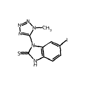 Cn1nnnc1-n1c(=S)[nH]c2ccc(I)cc21